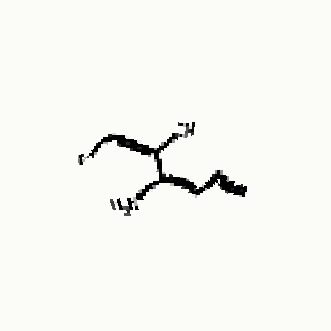 C=C/C=C(N)\C(C#N)=C/C(C)C